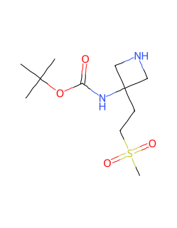 CC(C)(C)OC(=O)NC1(CCS(C)(=O)=O)CNC1